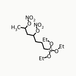 CCO[Si](CCCC(CC(C)O[N+](=O)[O-])O[N+](=O)[O-])(OCC)OCC